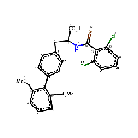 COc1cccc(OC)c1-c1ccc(C[C@H](NC(=S)c2c(Cl)cccc2Cl)C(=O)O)cc1